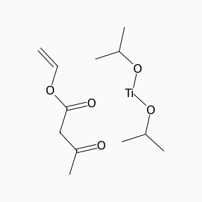 C=COC(=O)CC(C)=O.CC(C)[O][Ti][O]C(C)C